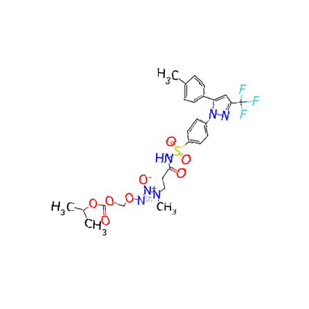 Cc1ccc(-c2cc(C(F)(F)F)nn2-c2ccc(S(=O)(=O)NC(=O)CCN(C)/[N+]([O-])=N/OCOC(=O)OC(C)C)cc2)cc1